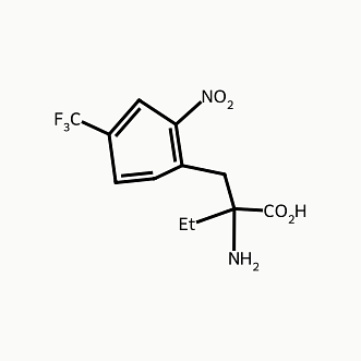 CCC(N)(Cc1ccc(C(F)(F)F)cc1[N+](=O)[O-])C(=O)O